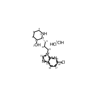 Cl.Cl.O[C@H]1CCCN[C@@H]1CCCn1cnc2ccc(Cl)nc21